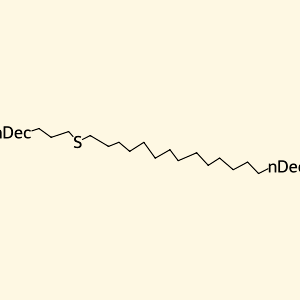 CCCCCCCCCCCCCCCCCCCCCCCCSCCCCCCCCCCCCC